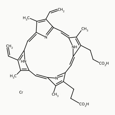 C=CC1=C(C)c2cc3[nH]c(cc4nc(cc5[nH]c(cc1n2)c(C)c5CCC(=O)O)C(CCC(=O)O)=C4C)c(C)c3C=C.[Cr]